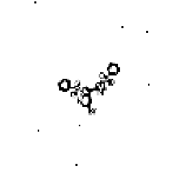 O=S(=O)(c1ccccc1)n1cnc(-c2cn(S(=O)(=O)c3ccccc3)c3ncc(Br)cc23)c1